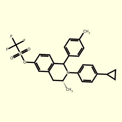 Cc1ccc(C2c3ccc(OS(=O)(=O)C(F)(F)F)cc3C[C@@H](C)N2c2ccc(C3CC3)cc2)cc1